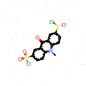 Cn1c2ccc([S+]([O-])Cl)cc2c(=O)c2cc(S(=O)(=O)Cl)ccc21